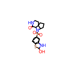 O=C1NCCC23CCCC2N(S(=O)(=O)c2ccc4c(c2)NC(O)S4)C13